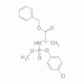 COP(=O)(N[C@@H](C)C(=O)OCc1ccccc1)Oc1ccc(Cl)cc1